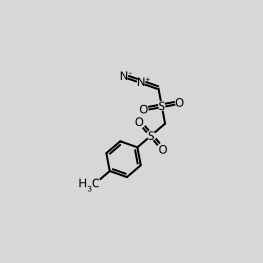 Cc1ccc(S(=O)(=O)CS(=O)(=O)C=[N+]=[N-])cc1